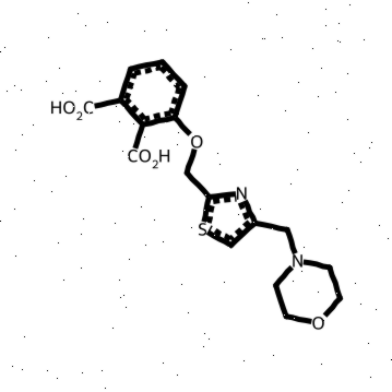 O=C(O)c1cccc(OCc2nc(CN3CCOCC3)cs2)c1C(=O)O